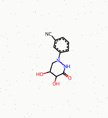 N#Cc1cccc(N2CC(O)C(O)C(=O)N2)c1